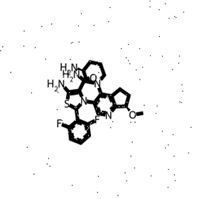 CO[C@@H]1CCc2c1ncc(N1C(C(N)=O)=C(N)SC1c1c(F)cccc1F)c2N1CCC[C@H](N)C1